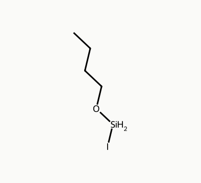 CCCCO[SiH2]I